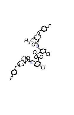 CC1CN(Cc2ccc(F)cc2)CCN1C(=O)/C=C/c1ccc(Cl)cc1C(=O)OC(=O)c1cc(Cl)ccc1/C=C/C(=O)N1CCN(Cc2ccc(F)cc2)C[C@H]1C